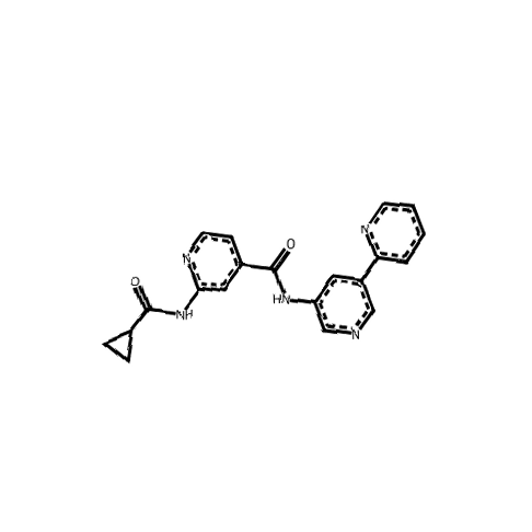 O=C(Nc1cncc(-c2ccccn2)c1)c1ccnc(NC(=O)C2CC2)c1